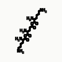 NCCCC[C@H](N)C(=O)OC(=O)CC[C@H](N)C(=O)OC(=O)[C@@H](N)CCCCN